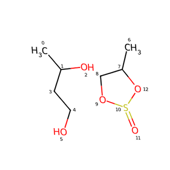 CC(O)CCO.CC1COS(=O)O1